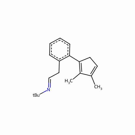 CC1=CCC(c2ccccc2CC=NC(C)(C)C)=C1C